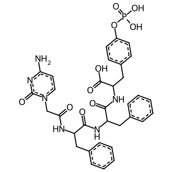 Nc1ccn(CC(=O)NC(Cc2ccccc2)C(=O)NC(Cc2ccccc2)C(=O)NC(Cc2ccc(OP(=O)(O)O)cc2)C(=O)O)c(=O)n1